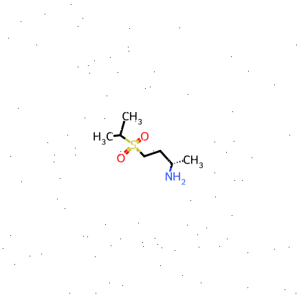 CC(C)S(=O)(=O)CC[C@H](C)N